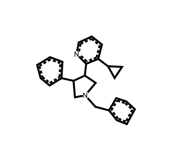 c1ccc(CN2CC(c3ccccc3)C(c3ncccc3C3CC3)C2)cc1